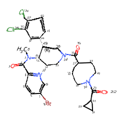 CN(C(=O)c1ccc(Br)cn1)[C@@H]1CCN(C(=O)C2CCN(C(=O)C3CC3)CC2)C[C@H]1c1ccc(Cl)c(Cl)c1